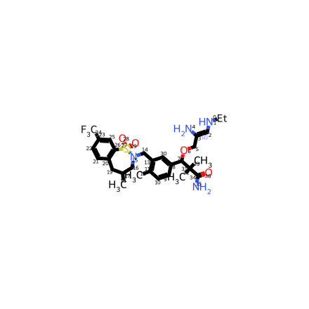 CCN/C=C(\N)COC(c1ccc(C)c(CN2CC(C)Cc3ccc(C(F)(F)F)cc3S2(=O)=O)c1)C(C)(C)C(N)=O